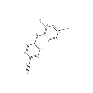 C#Cc1ccc(Oc2ccc(F)cc2F)cc1